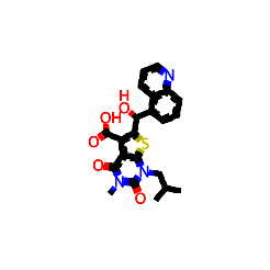 CC(C)Cn1c(=O)n(C)c(=O)c2c(C(=O)O)c(C(O)c3cccc4ncccc34)sc21